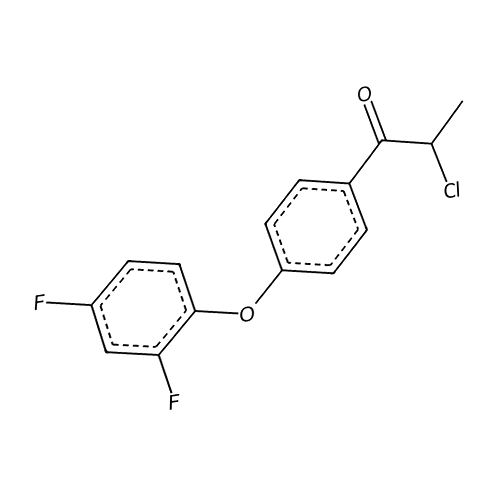 CC(Cl)C(=O)c1ccc(Oc2ccc(F)cc2F)cc1